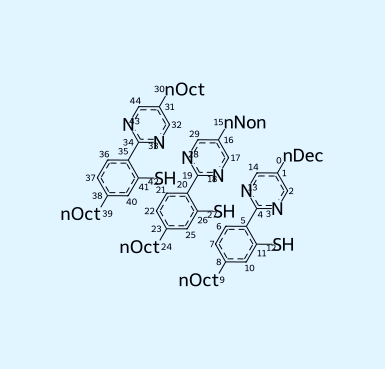 CCCCCCCCCCc1cnc(-c2ccc(CCCCCCCC)cc2S)nc1.CCCCCCCCCc1cnc(-c2ccc(CCCCCCCC)cc2S)nc1.CCCCCCCCc1cnc(-c2ccc(CCCCCCCC)cc2S)nc1